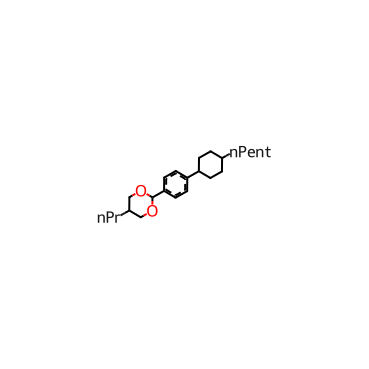 CCCCCC1CCC(c2ccc(C3OCC(CCC)CO3)cc2)CC1